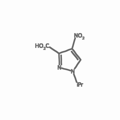 CC(C)n1cc([N+](=O)[O-])c(C(=O)O)n1